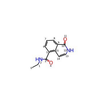 CCNC(=O)c1cccc2c(=O)[nH]ccc12